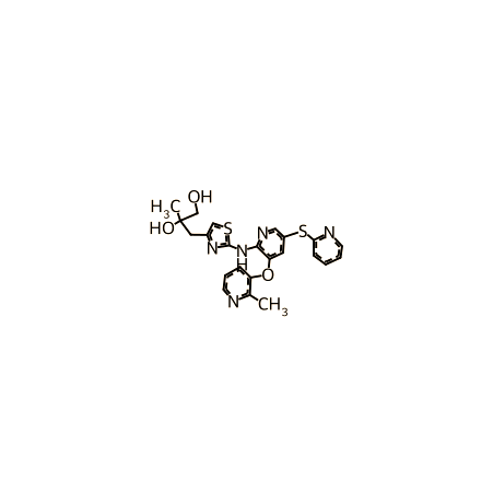 Cc1ncccc1Oc1cc(Sc2ccccn2)cnc1Nc1nc(CC(C)(O)CO)cs1